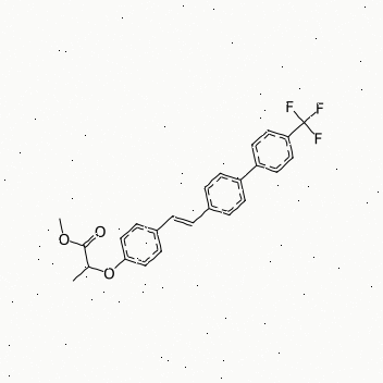 COC(=O)C(C)Oc1ccc(C=Cc2ccc(-c3ccc(C(F)(F)F)cc3)cc2)cc1